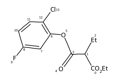 CCOC(=O)C(CC)C(=O)Oc1cc(F)ccc1Cl